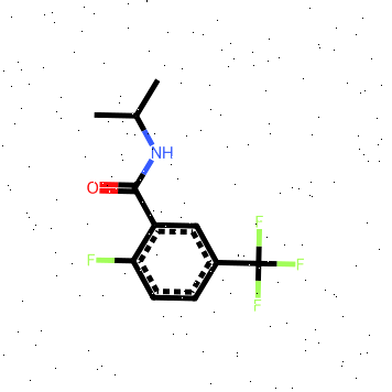 CC(C)NC(=O)c1cc(C(F)(F)F)ccc1F